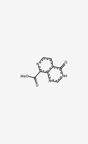 COC(=O)c1nccc2c(=O)[nH]cnc12